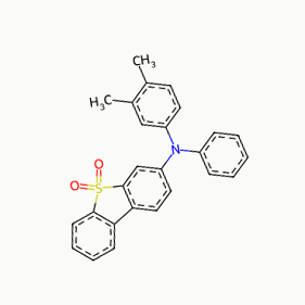 Cc1ccc(N(c2ccccc2)c2ccc3c(c2)S(=O)(=O)c2ccccc2-3)cc1C